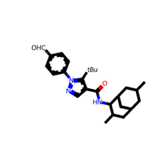 CC1CC2CC(C)C(NC(=O)c3cnn(-c4ccc(C=O)cc4)c3C(C)(C)C)C(C1)C2